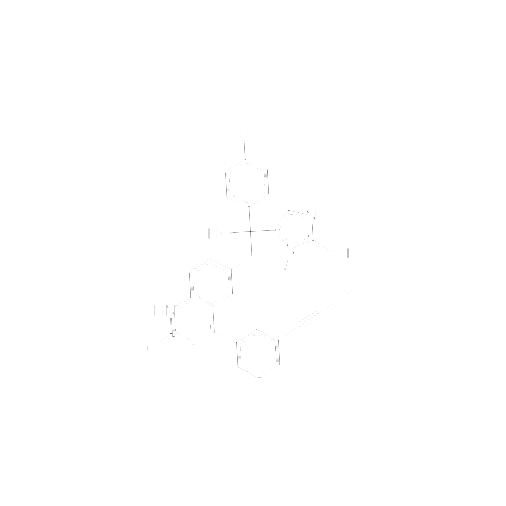 Cn1c(C(O)(Cc2ccc3[nH]c(=O)cc(-c4cccc(C#C[Si](C)(C)C)c4)c3c2)c2ccc(Cl)cc2)cnc1S